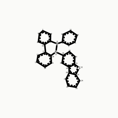 c1ccc(B2c3ccccc3-c3ccccc3N2c2ccc3sc4ccccc4c3c2)cc1